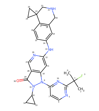 CC(C)(F)c1nccc(-n2c3cc(Nc4ccc5c(c4)CNCC54CC4)ncc3c(=O)n2C2CC2)n1